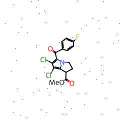 COC(=O)C1CCn2c(C(=O)c3ccc(F)cc3)c(Cl)c(Cl)c21